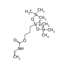 C=CNC(=O)OCCC[Si](C)(O[Si](C)(C)C)O[Si](C)(C)C